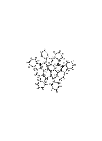 c1ccc2c(c1)B1c3c4c5c6c7c3N2c2ccccc2B7n2c3ccccc3c3cc7c8ccccc8n(c7c-6c32)B5n2c3ccccc3c3cc5c6ccccc6n1c5c-4c32